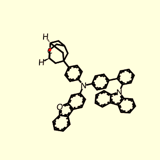 c1ccc(-n2c3ccccc3c3ccccc32)c(-c2ccc(N(c3ccc(C45CC6CC[C@H](C[C@@H](C6)C4)C5)cc3)c3ccc4c(c3)oc3ccccc34)cc2)c1